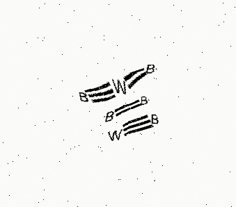 [B]#[W].[B]=[B].[B]=[W]#[B]